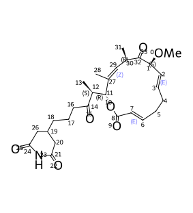 CO[C@H]1/C=C/CC/C=C/C(=O)O[C@H]([C@H](C)C(=O)CCCC2CC(=O)NC(=O)C2)/C(C)=C\[C@@H](C)C1=O